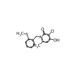 CSc1ccccc1Cn1c(C)cc(O)c(Cl)c1=O